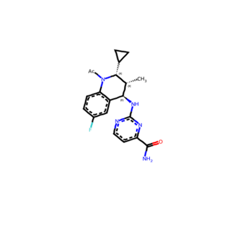 CC(=O)N1c2ccc(F)cc2[C@H](Nc2nccc(C(N)=O)n2)[C@@H](C)[C@H]1C1CC1